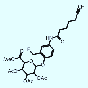 C#CCCCCC(=O)Nc1ccc(OC2OC(C(=O)OC)C(OC(C)=O)C(OC(C)=O)C2OC(C)=O)c(CF)c1